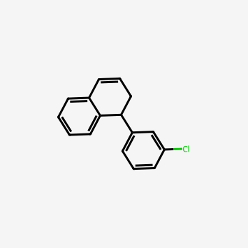 Clc1cccc(C2CC=Cc3ccccc32)c1